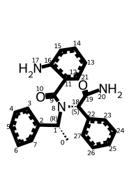 C[C@H](c1ccccc1)N(C(=O)c1ccccc1N)[C@H](C(N)=O)c1ccccc1